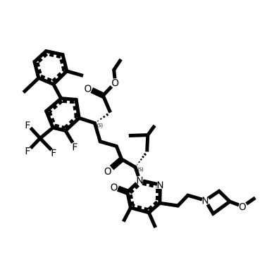 CCOC(=O)C[C@H](CCC(=O)[C@H](CC(C)C)n1nc(CCN2CC(OC)C2)c(C)c(C)c1=O)c1cc(-c2c(C)cccc2C)cc(C(F)(F)F)c1F